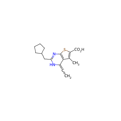 C=C=C1NC(CC2CCCC2)=Nc2sc(C(=O)O)c(C)c21